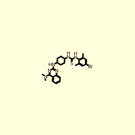 Cc1cc(Br)cc(C)c1NC(=S)NC1CCC(Nc2nc(N(C)C)c3ccccc3n2)CC1